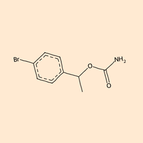 CC(OC(N)=O)c1ccc(Br)cc1